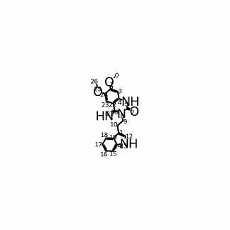 COc1cc2[nH]c(=O)n(CCc3c[nH]c4ccccc34)c(=N)c2cc1OC